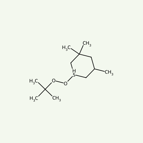 CC1C[SH](OOC(C)(C)C)CC(C)(C)C1